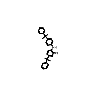 CC(C)(c1ccccc1)c1ccc(Nc2ccc(C(C)(C)c3ccccc3)c[c]2[Ni])cc1